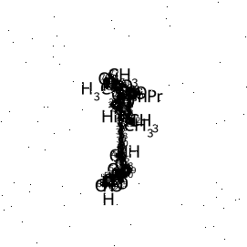 CCCOc1cc(OCCCCN(C)C)cc(Oc2cc3c(cc2NS(=O)(=O)c2cccc(C(=O)NCCCCCCCCNC(=O)COc4cccc5c4C(=O)N(C4CCC(=O)NC4=O)C5=O)c2)n(C)c(=O)n3C)c1